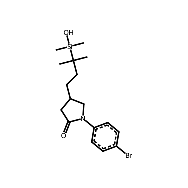 CC(C)(CCC1CC(=O)N(c2ccc(Br)cc2)C1)[Si](C)(C)O